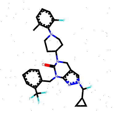 Cc1cccc(F)c1N1CCC(N2Cc3cn(C(F)C4CC4)nc3N(Cc3ccccc3C(F)(F)F)C2=O)CC1